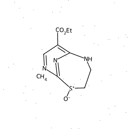 C.CCOC(=O)c1cnc2nc1NCC[S+]2[O-]